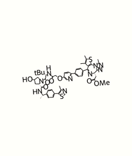 COC(=O)C[C@@H]1N=C(c2ccc(-c3ccc(OCC(=O)N[C@H](C(=O)N4C[C@H](O)C[C@H]4C(=O)N[C@@H](C)c4ccc(-c5scnc5C)cc4)C(C)(C)C)cn3)cc2)c2c(sc(C)c2C)-n2c(C)nnc21